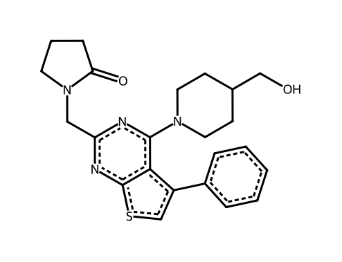 O=C1CCCN1Cc1nc(N2CCC(CO)CC2)c2c(-c3ccccc3)csc2n1